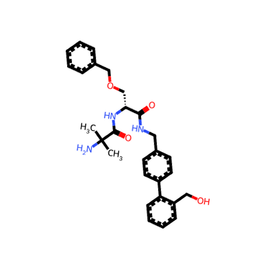 CC(C)(N)C(=O)N[C@H](COCc1ccccc1)C(=O)NCc1ccc(-c2ccccc2CO)cc1